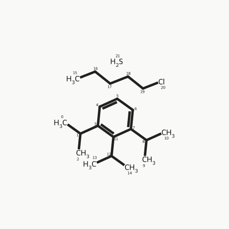 CC(C)c1cccc(C(C)C)c1C(C)C.CCCCCCl.S